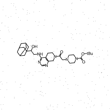 CC(C)(C)OC(=O)N1CCN(CC(=O)N2CCc3c(ncnc3NCC(O)C34CC5CC(CC(C5)C3)C4)C2)CC1